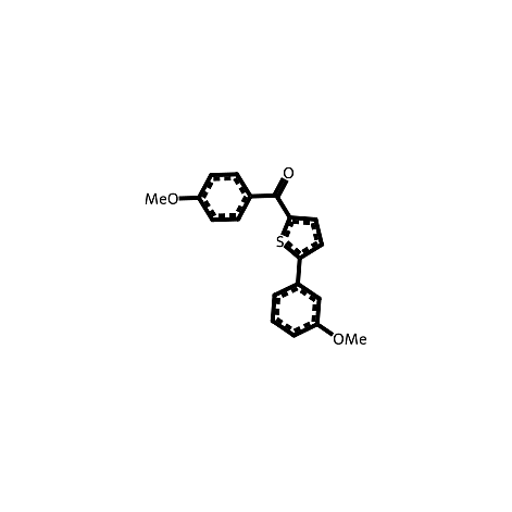 COc1ccc(C(=O)c2ccc(-c3cccc(OC)c3)s2)cc1